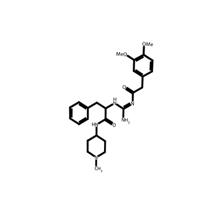 COc1ccc(CC(=O)N=C(N)NC(Cc2ccccc2)C(=O)NC2CCN(C)CC2)cc1OC